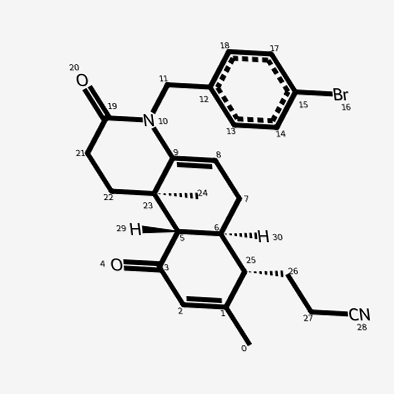 CC1=CC(=O)[C@H]2[C@@H](CC=C3N(Cc4ccc(Br)cc4)C(=O)CC[C@@]32C)[C@@H]1CCC#N